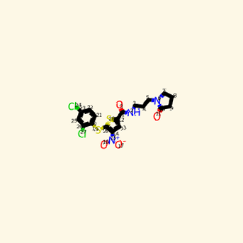 O=C(NCCCN1CCCC1=O)c1cc([N+](=O)[O-])c(Sc2ccc(Cl)cc2Cl)s1